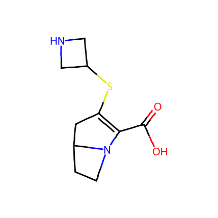 O=C(O)C1=C(SC2CNC2)CC2CCN12